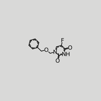 O=c1[nH]c(=O)n(COCc2ccccc2)cc1F